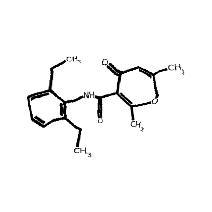 CCc1cccc(CC)c1NC(=O)c1c(C)oc(C)cc1=O